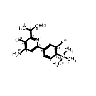 COC(O)c1nc(-c2ccc([Si](C)(C)C)c(F)c2)cc(N)c1Cl